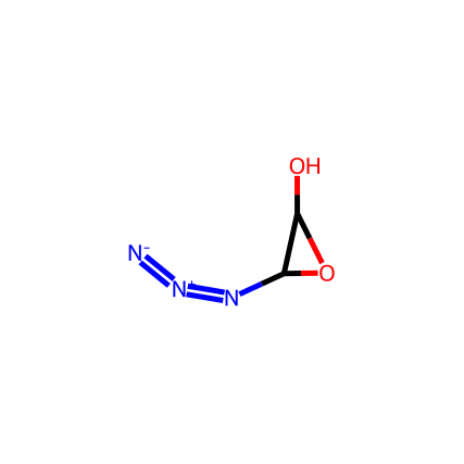 [N-]=[N+]=NC1OC1O